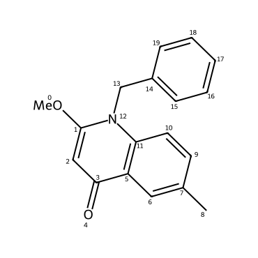 COc1cc(=O)c2cc(C)ccc2n1Cc1ccccc1